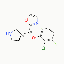 Fc1ccc(F)c(O[C@@H](c2ncco2)[C@H]2CCNC2)c1Cl